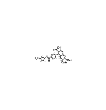 COc1cc2cc3c(c(-c4cnc(NCc5ccc(C)o5)nc4)c2cc1OC)C(=O)OC3